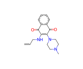 C=CCNC1=C(N2CCN(C)CC2)C(=O)c2ccccc2C1=O